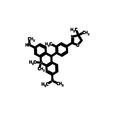 CNc1ccc2c(c1)[Si](C)(C)c1cc(N(C)C)ccc1C2c1ccc(C2=NC(C)(C)CO2)cc1C